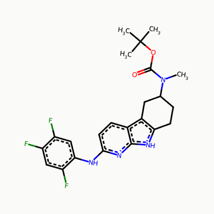 CN(C(=O)OC(C)(C)C)C1CCc2[nH]c3nc(Nc4cc(F)c(F)cc4F)ccc3c2C1